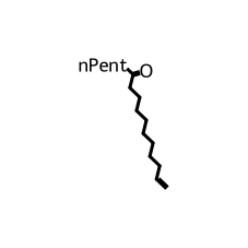 C=CCCCCCCCCC(=O)CCCCC